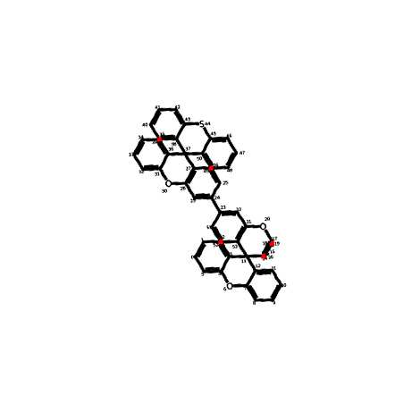 c1ccc2c(c1)Oc1ccccc1C21c2ccccc2Oc2cc(-c3ccc4c(c3)Oc3ccccc3C43c4ccccc4Sc4ccccc43)ccc21